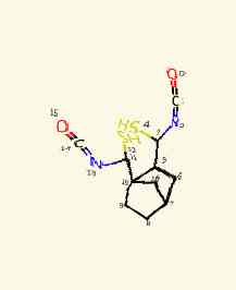 O=C=NC(S)C1CC2CCC1(C(S)N=C=O)C2